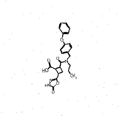 CCCN(Cc1ccc(Oc2ccccc2)cc1)C(=O)C1CC(c2n[nH]c(=O)o2)C1C(=O)O